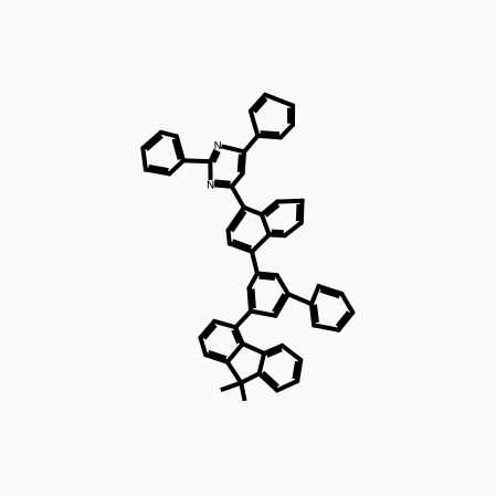 CC1(C)c2ccccc2-c2c(-c3cc(-c4ccccc4)cc(-c4ccc(-c5cc(-c6ccccc6)nc(-c6ccccc6)n5)c5ccccc45)c3)cccc21